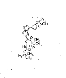 C[C@H](Oc1cccc(-c2cnn3ccc(N(CCNC(=O)OC(C)(C)C)C(=O)OC(C)(C)C)nc23)c1)C(=O)O